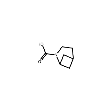 O=C(O)N1CCC2CC1C2